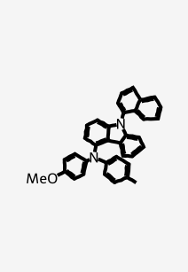 COc1ccc(N(c2ccc(C)cc2)c2cccc3c2c2ccccc2n3-c2cccc3ccccc23)cc1